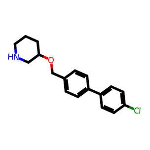 Clc1ccc(-c2ccc(COC3CCCNC3)cc2)cc1